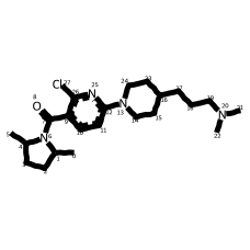 CC1CCC(C)N1C(=O)c1ccc(N2CCC(CCCN(C)C)CC2)nc1Cl